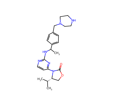 CC(Nc1nccc(N2C(=O)OC[C@@H]2C(C)C)n1)c1ccc(CN2CCNCC2)cc1